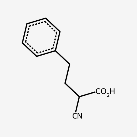 N#CC(CCc1ccccc1)C(=O)O